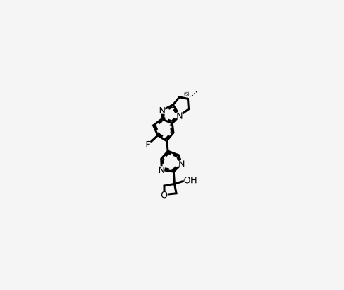 C[C@H]1Cc2nc3cc(F)c(-c4cnc(C5(O)COC5)nc4)cc3n2C1